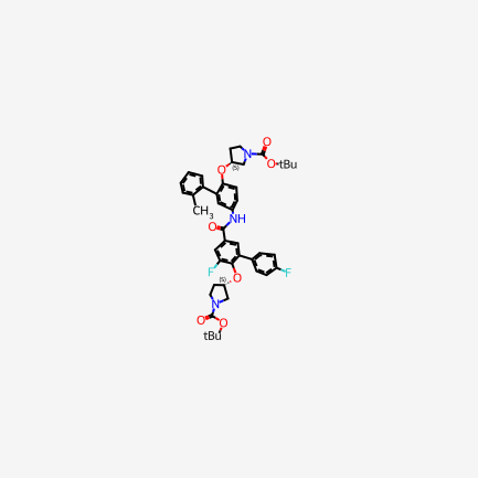 Cc1ccccc1-c1cc(NC(=O)c2cc(F)c(O[C@H]3CCN(C(=O)OC(C)(C)C)C3)c(-c3ccc(F)cc3)c2)ccc1O[C@H]1CCN(C(=O)OC(C)(C)C)C1